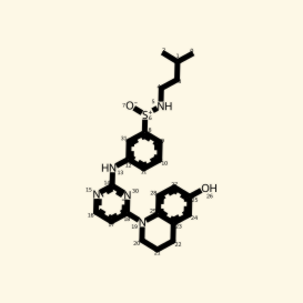 CC(C)CCN[S+]([O-])c1cccc(Nc2nccc(N3CCCc4cc(O)ccc43)n2)c1